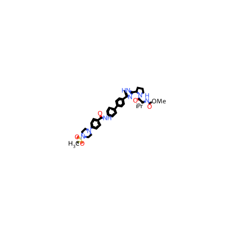 COC(=O)N[C@H](C(=O)N1CCCC1c1nc(-c2ccc(-c3ccc(NC(=O)c4ccc(N5CCN(S(C)(=O)=O)CC5)cc4)cc3)cc2)c[nH]1)C(C)C